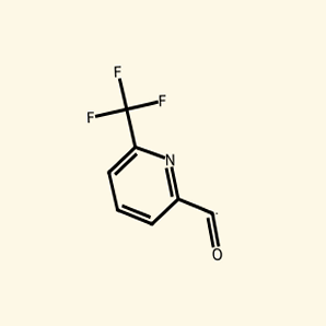 O=[C]c1cccc(C(F)(F)F)n1